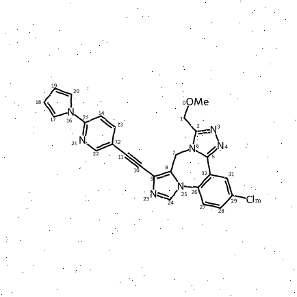 COCc1nnc2n1Cc1c(C#Cc3ccc(-n4cccc4)nc3)ncn1-c1ccc(Cl)cc1-2